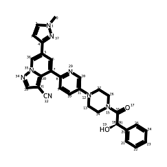 Cn1ccc(-c2cc(-c3ccc(N4CCN(C(=O)[C@H](O)c5ccccc5)CC4)cn3)c3c(C#N)cnn3c2)n1